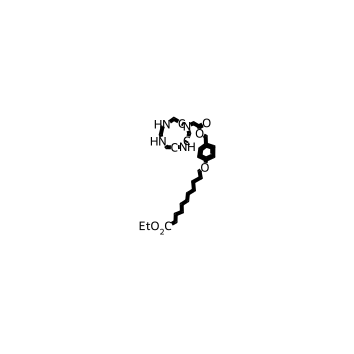 CCOC(=O)CCCCCCCCCCOc1ccc(COC(=O)CN2CCNCCNCCNCC2)cc1